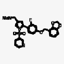 CNCc1cc(-c2ccc(OCc3cccc4c3OCO4)cc2F)n(S(=O)(=O)c2cccnc2)c1